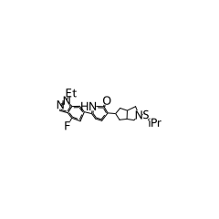 CCn1ncc2c(F)cc(-c3ccc(C4CC5CN(SC(C)C)CC5C4)c(=O)[nH]3)cc21